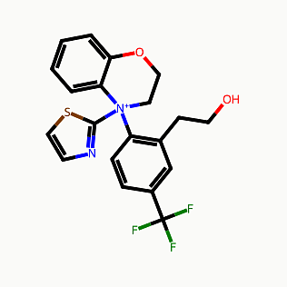 OCCc1cc(C(F)(F)F)ccc1[N+]1(c2nccs2)CCOc2ccccc21